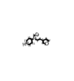 O=[C]N(CCC1CCOC1)C1CCNCC1